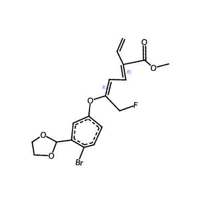 C=C/C(=C\C=C(/CF)Oc1ccc(Br)c(C2OCCO2)c1)C(=O)OC